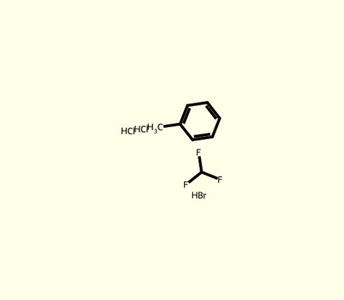 Br.Cc1ccccc1.Cl.Cl.FC(F)F